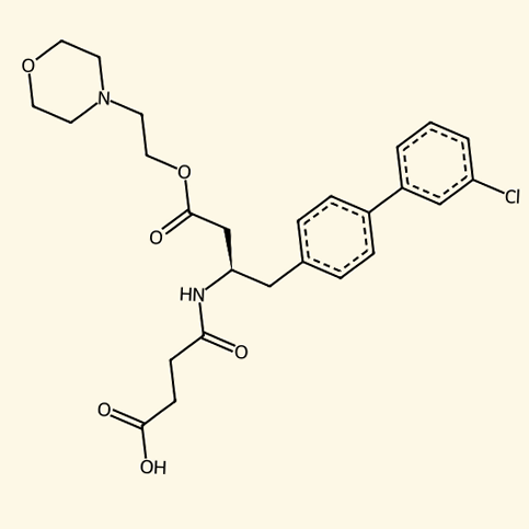 O=C(O)CCC(=O)N[C@@H](CC(=O)OCCN1CCOCC1)Cc1ccc(-c2cccc(Cl)c2)cc1